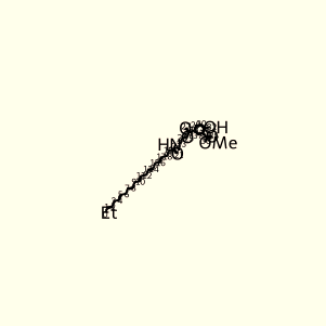 CCC=CCC=CCC=CCC=CCC=CCC=CCCC(=O)NCCOC(=O)c1ccc(O)c(C(=O)OC)c1